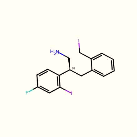 NC[C@@H](Cc1ccccc1CI)c1ccc(F)cc1I